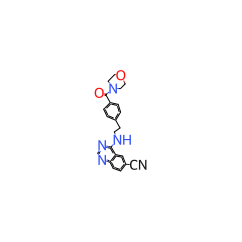 N#Cc1ccc2ncnc(NCCc3ccc(C(=O)N4CCOCC4)cc3)c2c1